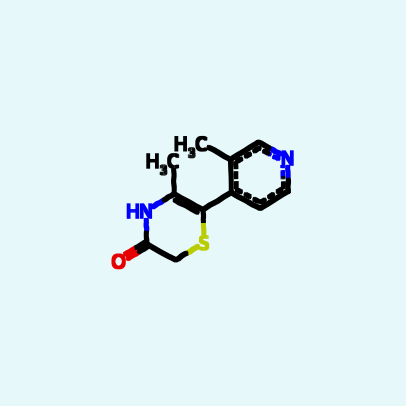 CC1=C(c2ccncc2C)SCC(=O)N1